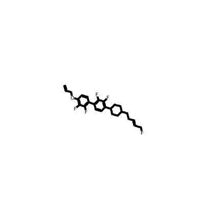 C=CCOc1ccc(-c2ccc(C3CCC(CC/C=C/CF)CC3)c(F)c2F)c(F)c1F